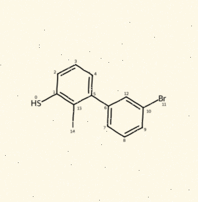 Sc1cccc(-c2cccc(Br)c2)c1I